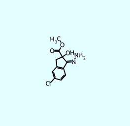 COC(=O)C1(O)Cc2cc(Cl)ccc2C1=NN